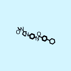 CC(=O)N(C)C1CCN(c2ccc(N(C)C(=O)c3ccc(C4CCCCC4)cc3)cc2)C1